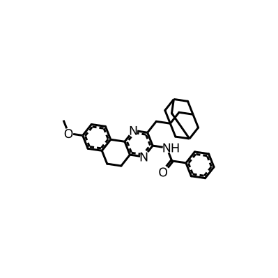 COc1ccc2c(c1)CCc1nc(NC(=O)c3ccccc3)c(CC34CC5CC(CC(C5)C3)C4)nc1-2